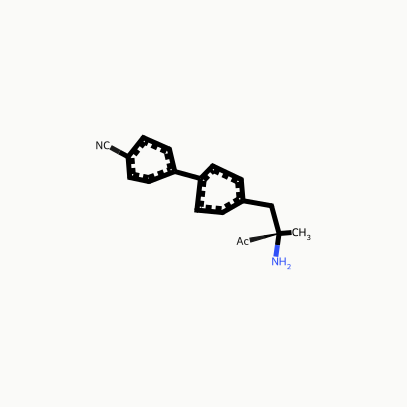 CC(=O)[C@@](C)(N)Cc1ccc(-c2ccc(C#N)cc2)cc1